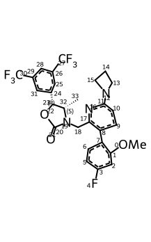 COc1cc(F)ccc1-c1ccc(N2CCC2)nc1CN1C(=O)O[C@H](c2cc(C(F)(F)F)cc(C(F)(F)F)c2)[C@@H]1C